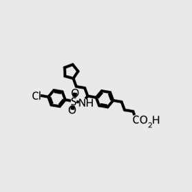 O=C(O)CCCc1ccc(C(CCC2CCCC2)NS(=O)(=O)c2ccc(Cl)cc2)cc1